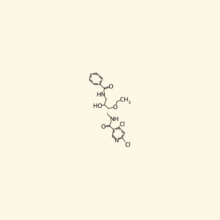 CCO[C@H](CNC(=O)c1cnc(Cl)cc1Cl)[C@@H](O)CNC(=O)c1ccccc1